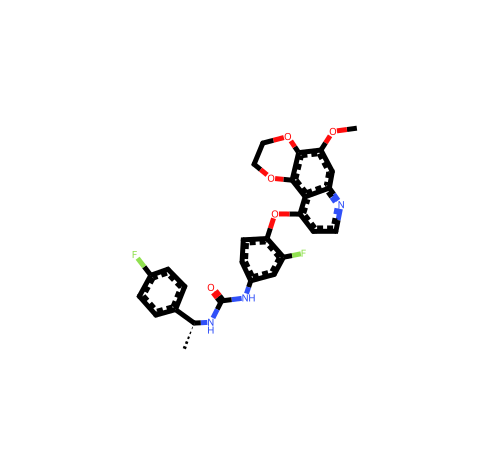 COc1cc2nccc(Oc3ccc(NC(=O)N[C@H](C)c4ccc(F)cc4)cc3F)c2c2c1OCCO2